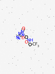 Cc1ccc(NC(=O)c2cccc(C(F)(F)F)c2)cc1Oc1nc(N2CCOCC2)nc2c1N=NC2C